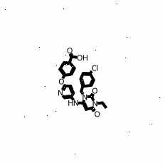 CCn1c(=O)cc(Nc2ccc(Oc3ccc(C(=O)O)cc3)nc2)n(Cc2ccc(Cl)cc2)c1=O